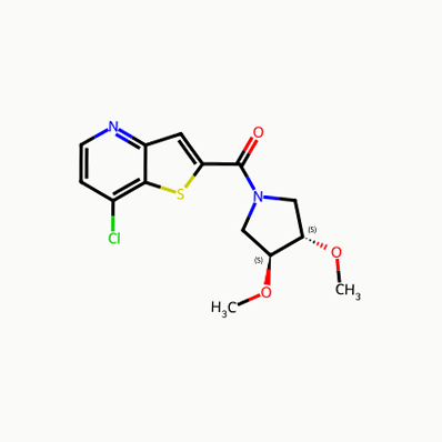 CO[C@H]1CN(C(=O)c2cc3nccc(Cl)c3s2)C[C@@H]1OC